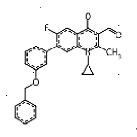 Cc1c(C=O)c(=O)c2cc(F)c(-c3cccc(OCc4ccccc4)c3)cc2n1C1CC1